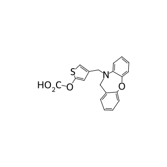 O=C(O)Oc1cc(CN2Cc3ccccc3Oc3ccccc32)cs1